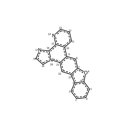 c1ccc2c(c1)oc1cc3c4cccnc4c4nccn4c3cc12